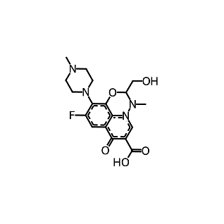 CN1CCN(c2c(F)cc3c(=O)c(C(=O)O)cn4c3c2OC(CO)N4C)CC1